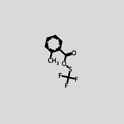 Cc1ccccc1C(=O)OSC(F)(F)F